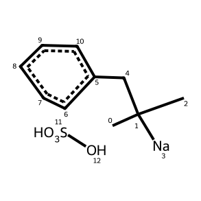 C[C](C)([Na])Cc1ccccc1.O=S(=O)(O)O